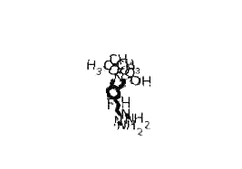 CC(C)(C)OC(=O)N1CC2CCC(F)(CC/C(=N/N)NN)CC2C[C@H]1C(=O)O